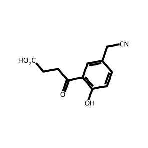 N#CCc1ccc(O)c(C(=O)CCC(=O)O)c1